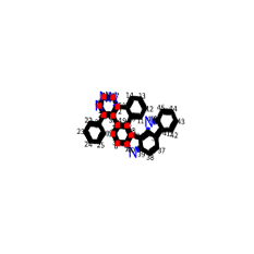 c1ccc(-c2ccc3c(c2-c2ccccc2-c2nnnc(-c4ccccc4)c2-c2ccccc2)-c2c4c(ccc2=N3)=c2ccccc2=N4)cc1